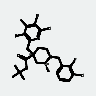 Cc1c(F)c(Cl)nc(C[C@@]2(C(=O)OC(C)(C)C)CCN(Cc3cccc(Cl)c3F)[C@H](C)C2)c1F